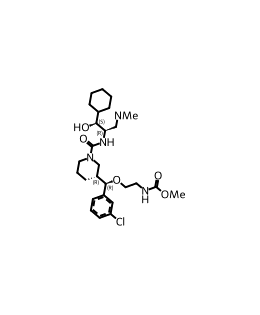 CNC[C@@H](NC(=O)N1CCC[C@@H]([C@@H](OCCNC(=O)OC)c2cccc(Cl)c2)C1)[C@@H](O)C1CCCCC1